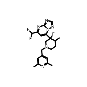 Cc1cc(CN2CCC(C)C(F)(c3cc(C(F)F)nc4ncnn34)C2)cc(C)n1